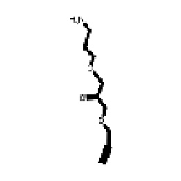 C#CCOCC(=O)COCCCN